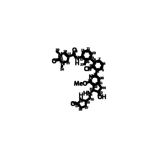 COc1nc(-c2cccc(-c3cccc(NC(=O)C4=CN(C)C(=O)N(C)C4)c3C)c2Cl)cc2c1C(NCC1CCC(=O)N1)C(O)C2